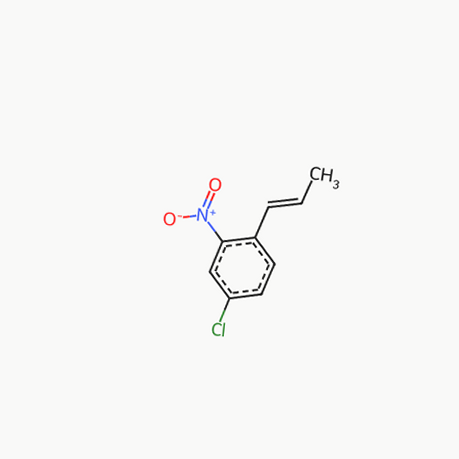 CC=Cc1ccc(Cl)cc1[N+](=O)[O-]